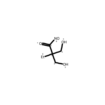 CCC(CO)(CO)C(=O)N=O